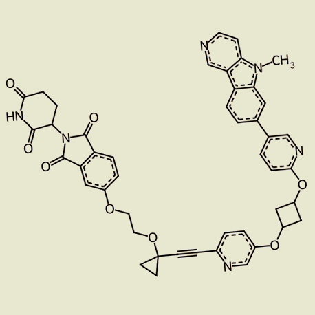 Cn1c2ccncc2c2ccc(-c3ccc(OC4CC(Oc5ccc(C#CC6(OCCOc7ccc8c(c7)C(=O)N(C7CCC(=O)NC7=O)C8=O)CC6)nc5)C4)nc3)cc21